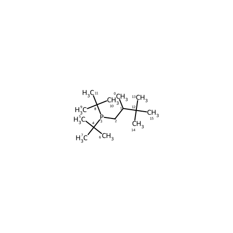 CC(CP(C(C)(C)C)C(C)(C)C)C(C)(C)C